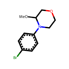 COC1COCCN1c1ccc(Br)cc1